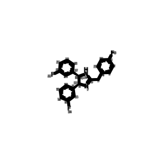 Fc1ccc(CC2=N[C@@H](c3cccc(F)c3)[C@@H](c3cccc(F)c3)N2)cc1